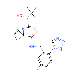 CC(C)(C)[C@@H](O)C(=O)N1CC2CC1(C(=O)NCc1cc(Cl)ccc1-n1cnnn1)C2